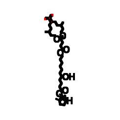 CC(C)=CCCC(C)CCOC(CCC(=O)OCCCCCCC(O)CCCC(=O)O[C@@H]1C[C@@H]2CC[C@@]1(C)C2(C)C)OCCC(C)CCC=C(C)C